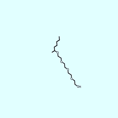 CCCCCC(C)OCCOCCOCCOCCO